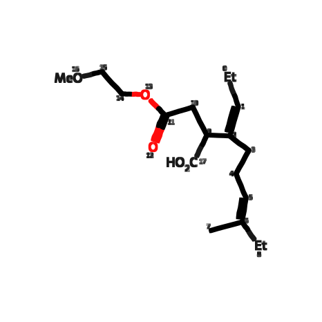 CC/C=C(/CC/C=C(\C)CC)C(CC(=O)OCCOC)C(=O)O